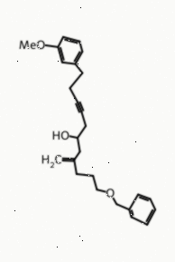 C=C(CCCOCc1ccccc1)CC(O)CC#CCCc1cccc(OC)c1